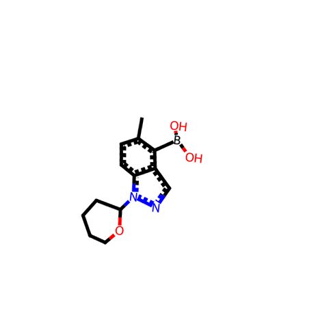 Cc1ccc2c(cnn2C2CCCCO2)c1B(O)O